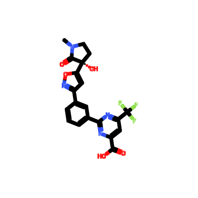 CN1CC[C@@](O)(c2cc(-c3cccc(-c4nc(C(=O)O)cc(C(F)(F)F)n4)c3)no2)C1=O